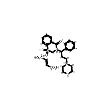 O=C(O)/C=C/C(=O)O.O=C1c2ccccc2S(=O)(=O)CN1C(CCN1CCOCC1)c1ccccc1